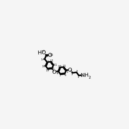 NCCCOc1ccc(Oc2ccc(CC(=O)O)cc2)cc1